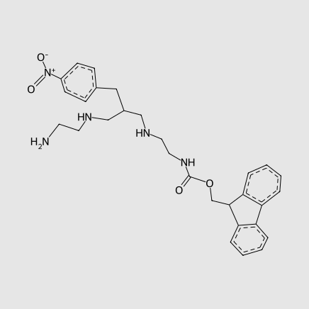 NCCNCC(CNCCNC(=O)OCC1c2ccccc2-c2ccccc21)Cc1ccc([N+](=O)[O-])cc1